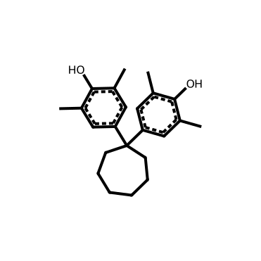 Cc1cc(C2(c3cc(C)c(O)c(C)c3)CCCCCC2)cc(C)c1O